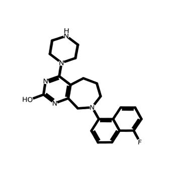 Oc1nc2c(c(N3CCNCC3)n1)CCCN(c1cccc3c(F)cccc13)C2